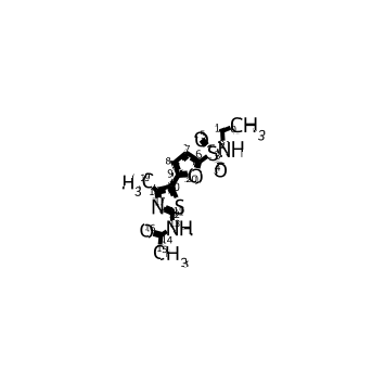 CCNS(=O)(=O)c1ccc(-c2sc(NC(C)=O)nc2C)o1